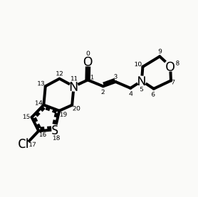 O=C(/C=C/CN1CCOCC1)N1CCc2cc(Cl)sc2C1